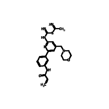 C=CC(=O)Nc1cccc(-c2cc(CN3CCOCC3)cc(NC(=N)SC(C)=N)n2)c1